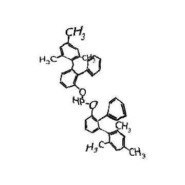 Cc1cc(C)c(-c2cccc(OPOc3cccc(-c4c(C)cc(C)cc4C)c3-c3ccccc3)c2-c2ccccc2)c(C)c1